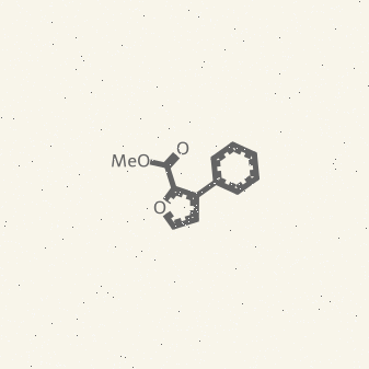 COC(=O)c1occc1-c1ccccc1